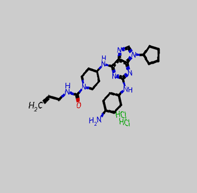 C=CCNC(=O)N1CCC(Nc2nc(NC3CCC(N)CC3)nc3c2ncn3C2CCCC2)CC1.Cl.Cl